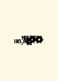 O=C(O)c1cnc2cc(C3CCCCC3)ccc2c1O